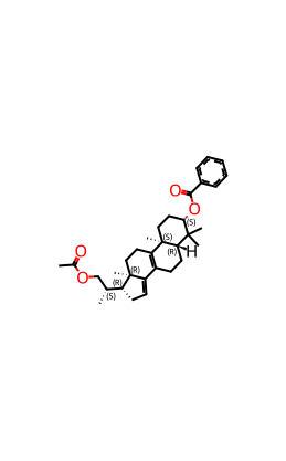 CC(=O)OC[C@@H](C)[C@H]1CC=C2C3=C(CC[C@@]21C)[C@@]1(C)CC[C@H](OC(=O)c2ccccc2)C(C)(C)[C@@H]1CC3